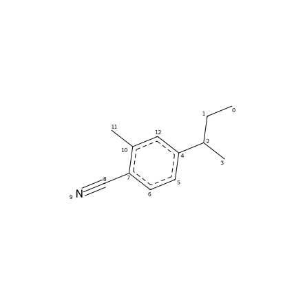 CCC(C)c1ccc(C#N)c(C)c1